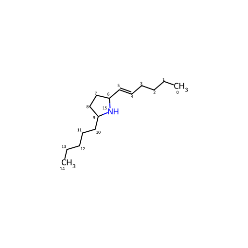 CCCCC=CC1CCC(CCCCC)N1